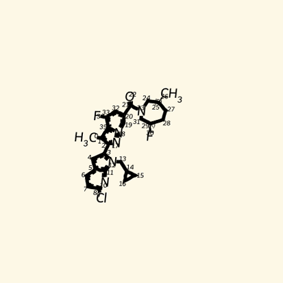 Cc1c(-c2cc3ccc(Cl)nc3n2CC2CC2)nn2cc(C(=O)N3C[C@H](C)CC[C@@H](F)C3)cc(F)c12